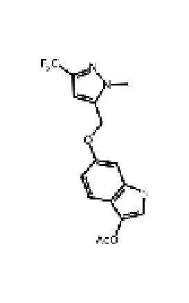 CC(=O)Oc1csc2cc(OCc3cc(C(F)(F)F)nn3C)ccc12